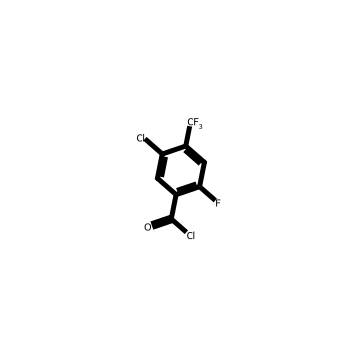 O=C(Cl)c1cc(Cl)c(C(F)(F)F)cc1F